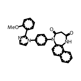 COc1ccccc1-c1nccn1-c1ccc(N2C(=O)CC(=O)Nc3c2ccc2ccccc32)cc1